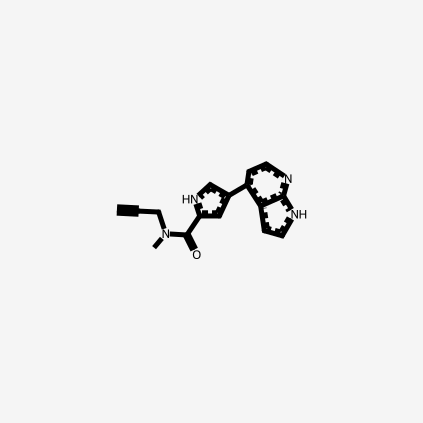 C#CCN(C)C(=O)c1cc(-c2ccnc3[nH]ccc23)c[nH]1